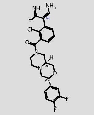 N=C(F)/C(=C\N)c1cccc(C(=O)N2CCN3C[C@@H](c4ccc(F)c(F)c4)OC[C@@H]3C2)c1Cl